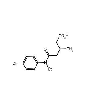 CCN(C(=O)CC(C)CC(=O)O)c1ccc(Cl)cc1